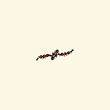 C=CCCOc1ccc(-c2ccc(-c3ccc(OCCOCc4csc(C5Sc6ccccc6S5)c4-c4c(COCCOc5ccc(-c6ccc(-c7ccc(OCCC=C)cc7)c(F)c6F)cc5)csc4C4Sc5ccccc5S4)cc3)c(F)c2F)cc1